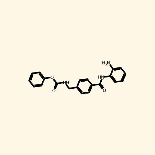 Nc1ccccc1NC(=O)c1ccc(CNC(=O)Oc2ccccc2)cc1